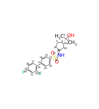 CC(C)(O)[C@H]1CC[C@@H](NS(=O)(=O)c2ccc(-c3ccc(F)cc3F)cc2)C1